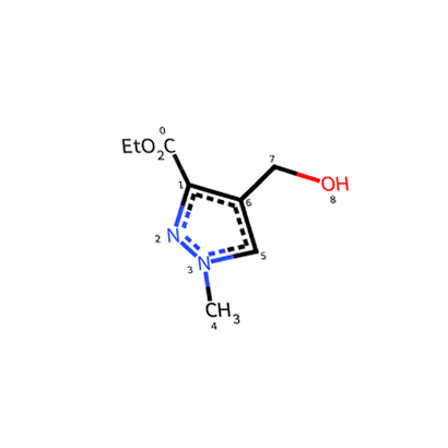 CCOC(=O)c1nn(C)cc1CO